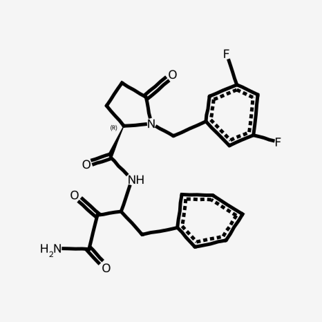 NC(=O)C(=O)C(Cc1ccccc1)NC(=O)[C@H]1CCC(=O)N1Cc1cc(F)cc(F)c1